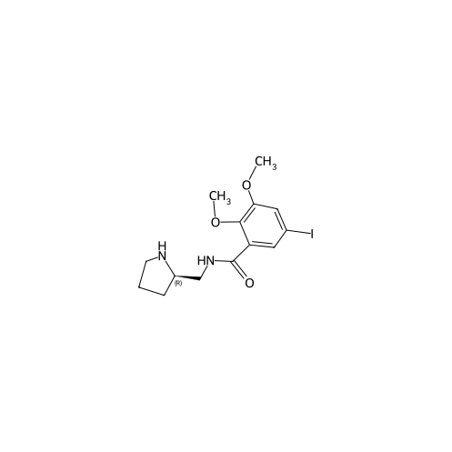 COc1cc(I)cc(C(=O)NC[C@H]2CCCN2)c1OC